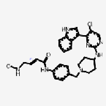 O=C(/C=C/CNCl)Nc1ccc(CN2CCC(Nc3ncc(Cl)c(-c4c[nH]c5ccccc45)n3)CC2)cc1